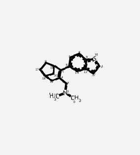 CN(C)CC1=C(c2ccc3sccc3c2)C2CCC(C1)C2